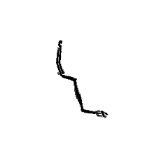 C[CH]CC[C]=S